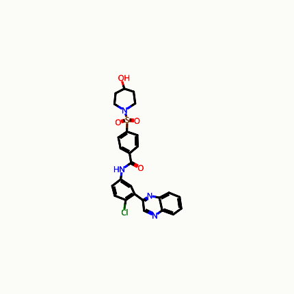 O=C(Nc1ccc(Cl)c(-c2cnc3ccccc3n2)c1)c1ccc(S(=O)(=O)N2CCC(O)CC2)cc1